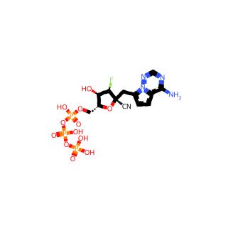 N#C[C@@]1(Cc2ccc3c(N)ncnn23)O[C@H](COP(=O)(O)OP(=O)(O)OP(=O)(O)O)[C@@H](O)[C@H]1F